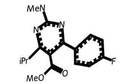 CNc1nc(-c2ccc(F)cc2)c(C(=O)OC)c(C(C)C)n1